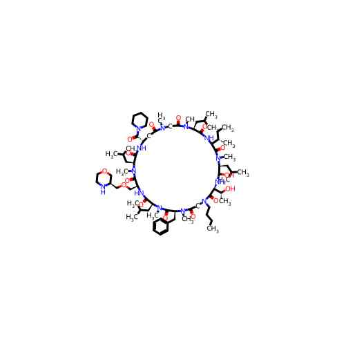 CCCCN1CC(=O)N(C)[C@@H](Cc2ccccc2)C(=O)N(C)[C@@H](CC(C)C)C(=O)N[C@@H](COC[C@@H]2COCCN2)C(=O)N(C)[C@@H](CC(C)C)C(=O)N[C@H](C(=O)N2CCCCC2)CC(=O)N(C)CC(=O)N(C)[C@@H](CC(C)C)C(=O)NC([C@@H](C)CC)C(=O)N(C)[C@@H](CC(C)C)C(O)N[C@@H]([C@@H](C)O)C1=O